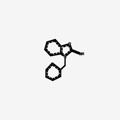 N=c1oc2ccccc2n1Cc1ccccc1